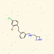 Clc1ccc(CCc2cccc(CNCC3CNC3)c2)c(Br)c1